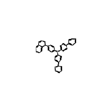 c1ccc(-c2ccc(N(c3ccc(-c4ccccc4)cc3)c3ccc(-c4cccc5ccccc45)cc3)cc2)cc1